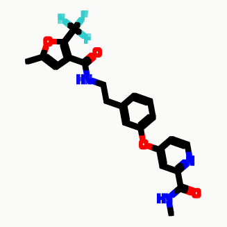 CNC(=O)c1cc(Oc2cccc(CCNC(=O)c3cc(C)oc3C(F)(F)F)c2)ccn1